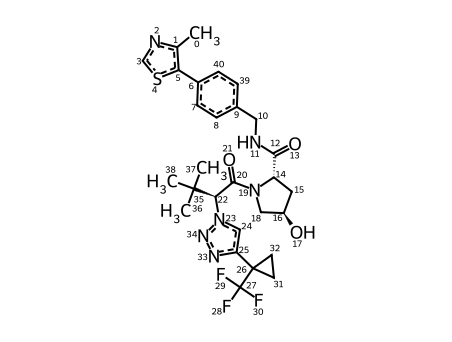 Cc1ncsc1-c1ccc(CNC(=O)[C@@H]2C[C@@H](O)CN2C(=O)[C@@H](n2cc(C3(C(F)(F)F)CC3)nn2)C(C)(C)C)cc1